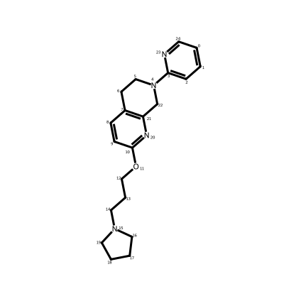 c1ccc(N2CCc3ccc(OCCCN4CCCC4)nc3C2)nc1